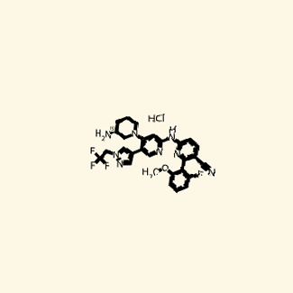 COc1cccc(F)c1-c1nc(Nc2cc(N3CCC[C@H](N)C3)c(-c3cnn(CC(F)(F)F)c3)cn2)ccc1C#N.Cl